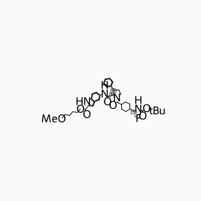 COCCCCOC(=O)c1cc2cc(NC(=O)[C@H]3[C@@H](c4ccccc4)CCN3C(=O)C3CCC([C@@H](CF)NC(=O)OC(C)(C)C)CC3)ccc2[nH]1